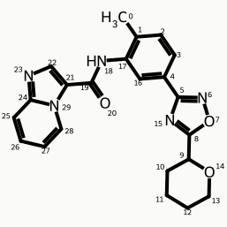 Cc1ccc(-c2noc(C3CCCCO3)n2)cc1NC(=O)c1cnc2ccccn12